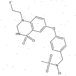 CCN(Cc1ccc(Oc2ccc3c(c2)S(=O)(=O)NCN3CCF)cc1)S(C)(=O)=O